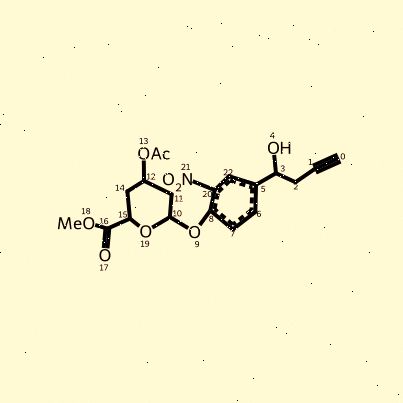 C#CCC(O)c1ccc(OC2CC(OC(C)=O)CC(C(=O)OC)O2)c([N+](=O)[O-])c1